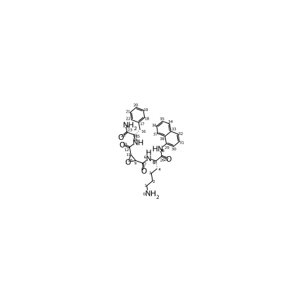 NCCCC[C@H](NC(=O)C1OC1C(=O)N[C@@H](Cc1ccccc1)C(N)=O)C(=O)Nc1cccc2ccccc12